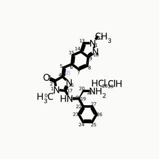 CN1C(=O)/C(=C/c2ccc3nn(C)cc3c2)N=C1N[C@@H](CN)c1ccccc1.Cl.Cl